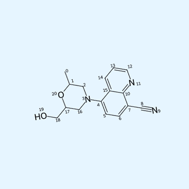 CC1CN(c2ccc(C#N)c3ncccc23)CC(CO)O1